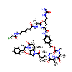 CC[C@H](C)[C@@H]([C@@H](CC(=O)N1CCC[C@H]1[C@H](OC)[C@@H](C)C(=O)N[C@H](C)[C@@H](O)c1ccccc1)OC)N(C)C(=O)C(NC(=O)[C@H](C(C)C)N(C)C(=O)OCc1ccc(NC(=O)[C@H](CCCNC(N)=O)NC(=O)[C@@H](NC(=O)CCCCCNC(=O)CBr)C(C)C)cc1)C(C)C